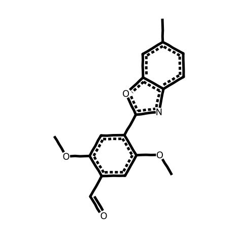 COc1cc(-c2nc3ccc(C)cc3o2)c(OC)cc1C=O